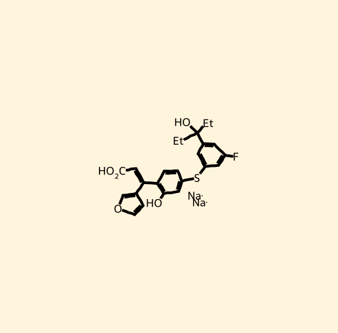 CCC(O)(CC)c1cc(F)cc(Sc2ccc(C(=CC(=O)O)c3ccoc3)c(O)c2)c1.[Na].[Na]